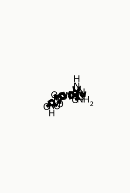 NC(=O)C(C1CCNCC1)(N1CCN(c2ccc3c(c2)C(=O)N(C2CCC(=O)NC2=O)C3=O)CC1)N1NC=CS1